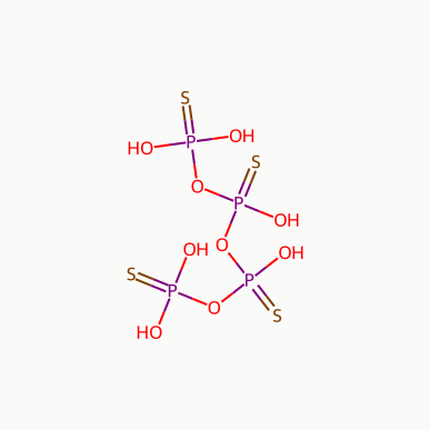 OP(O)(=S)OP(O)(=S)OP(O)(=S)OP(O)(O)=S